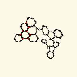 c1ccc(-c2ccccc2-c2ccccc2N(c2ccc3c(c2)C2(c4ccccc4-3)c3ccccc3-n3c4ccccc4c4cccc2c43)c2ccccc2-c2ccccc2)cc1